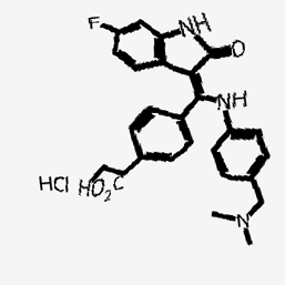 CN(C)Cc1ccc(N/C(=C2\C(=O)Nc3cc(F)ccc32)c2ccc(CCC(=O)O)cc2)cc1.Cl